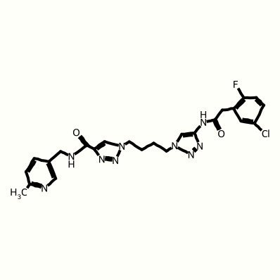 Cc1ccc(CNC(=O)c2cn(CCCCn3cc(NC(=O)Cc4cc(Cl)ccc4F)nn3)nn2)cn1